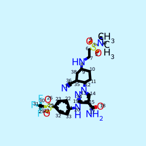 CN(C)S(=O)(=O)CCNC1CCC(n2cc(C(N)=O)c(Nc3ccc(S(=O)(=O)C(F)(F)F)cc3)n2)C(C#N)C1